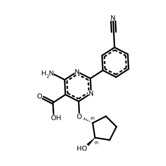 N#Cc1cccc(-c2nc(N)c(C(=O)O)c(O[C@@H]3CCC[C@H]3O)n2)c1